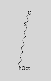 CCCCCCCCCCCCCCCCCCSCC[O]